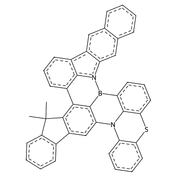 CC1(C)c2ccccc2-c2cc3c4c(c21)-c1cccc2c5cc6ccccc6cc5n(c12)B4c1cccc2c1N3c1ccccc1S2